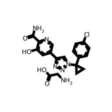 NC(=O)c1ncc(-c2cn(C3(c4ccc(Cl)cc4)CC3)nn2)cc1O.NCC(=O)O